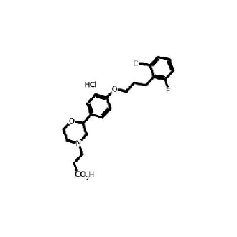 Cl.O=C(O)CCN1CCOC(c2ccc(OCCCc3c(F)cccc3Cl)cc2)C1